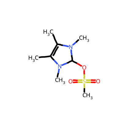 CC1=C(C)N(C)C(OS(C)(=O)=O)N1C